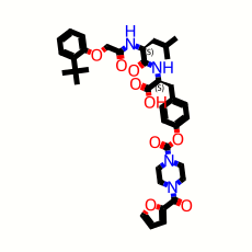 CC(C)C[C@H](NC(=O)COc1ccccc1C(C)(C)C)C(=O)N[C@@H](Cc1ccc(OC(=O)N2CCN(C(=O)c3ccco3)CC2)cc1)C(=O)O